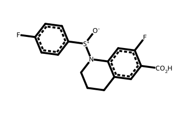 O=C(O)c1cc2c(cc1F)N([S+]([O-])c1ccc(F)cc1)CCC2